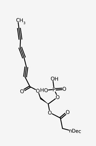 CC#CC#CC#CC(=O)OC[C@H](OC(=O)CCCCCCCCCCC)OP(=O)(O)O